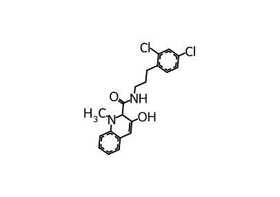 CN1c2ccccc2C=C(O)C1C(=O)NCCCc1ccc(Cl)cc1Cl